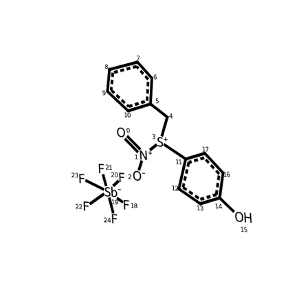 O=[N+]([O-])[S+](Cc1ccccc1)c1ccc(O)cc1.[F][Sb-]([F])([F])([F])([F])[F]